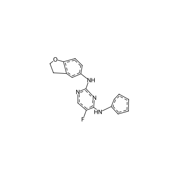 Fc1cnc(Nc2ccc3c(c2)CCO3)nc1Nc1ccccc1